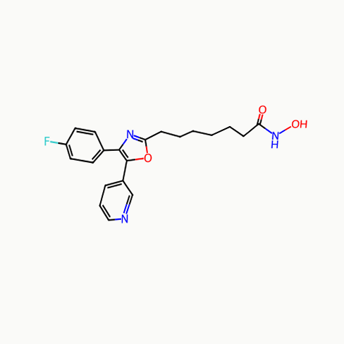 O=C(CCCCCCc1nc(-c2ccc(F)cc2)c(-c2cccnc2)o1)NO